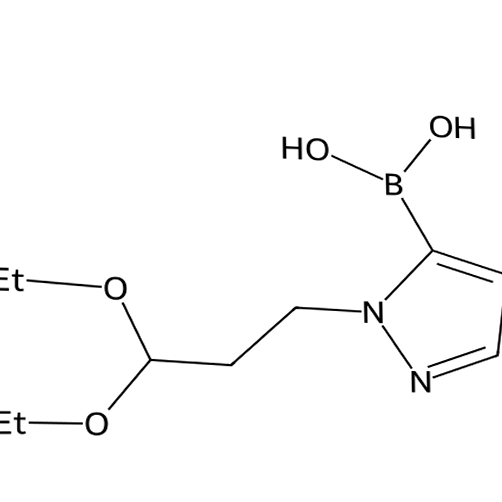 CCOC(CCn1nccc1B(O)O)OCC